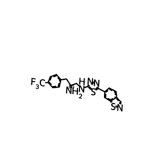 N[C@@H](CNc1nnc(-c2ccc3cnsc3c2)s1)Cc1ccc(C(F)(F)F)cc1